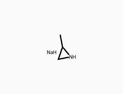 CC1CN1.[NaH]